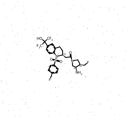 N[C@H]1CN(C(=O)C[C@@H]2CCc3cc(C(O)(C(F)(F)F)C(F)(F)F)ccc3N2S(=O)(=O)c2ccc(F)cc2)C[C@H]1CF